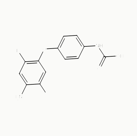 Nc1cc(F)c(Oc2ccc(NC(=O)O)cc2)cc1F